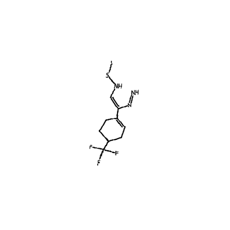 N=N/C(=C\NSI)C1=CCC(C(F)(F)F)CC1